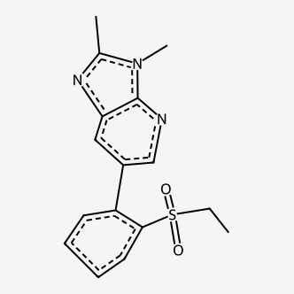 CCS(=O)(=O)c1ccccc1-c1cnc2c(c1)nc(C)n2C